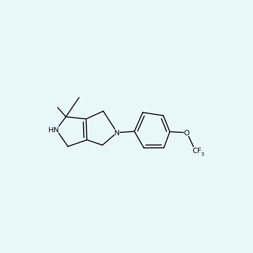 CC1(C)NCC2=C1CN(c1ccc(OC(F)(F)F)cc1)C2